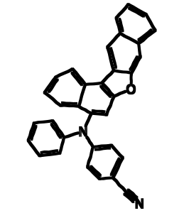 N#Cc1ccc(N(c2ccccc2)c2cc3oc4cc5ccccc5cc4c3c3ccccc23)cc1